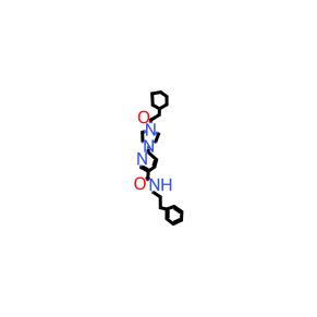 O=C(NCCCc1ccccc1)c1ccc(N2CCN(C(=O)CC3CCCCC3)CC2)nc1